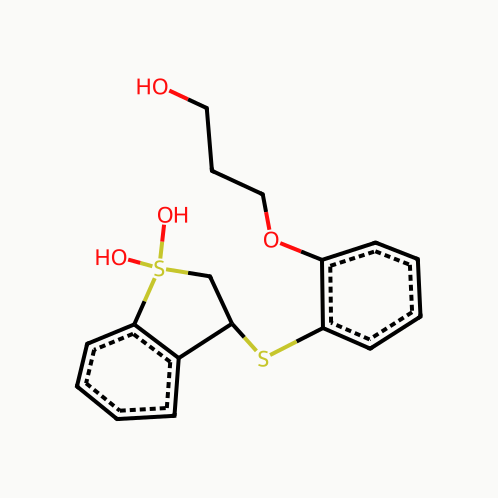 OCCCOc1ccccc1SC1CS(O)(O)c2ccccc21